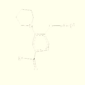 CCCCCCCOc1ccc(C(=O)CC)cc1N1CCCCC1